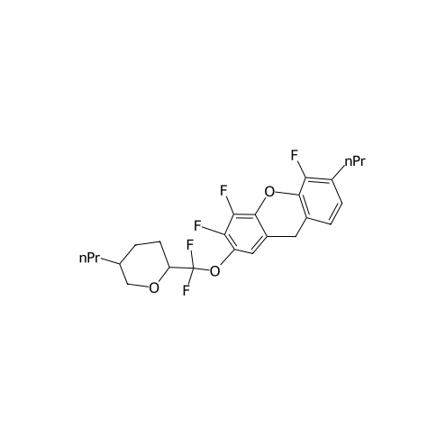 CCCc1ccc2c(c1F)Oc1c(cc(OC(F)(F)C3CCC(CCC)CO3)c(F)c1F)C2